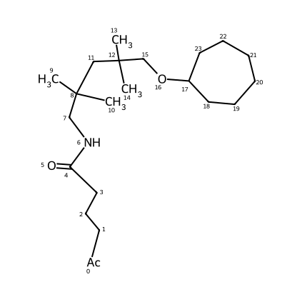 CC(=O)CCCC(=O)NCC(C)(C)CC(C)(C)COC1CCCCCC1